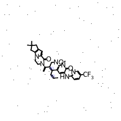 C=C(/C(CN=O)=C(\C=C/C)c1cc(Nc2ccc(C(F)(F)F)cn2)c(=O)n(C)c1)N1CCn2c(cc3c2CC(C)(C)C3)C1=O